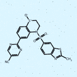 Cc1nc2ccc(S(=O)(=O)N3CC[S+]([O-])c4ccc(-c5ncc(C#N)cn5)cc43)cc2s1